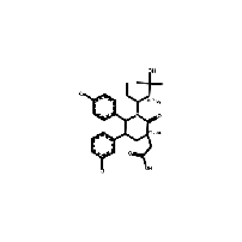 CCC([C@@H](C)C(C)(C)O)N1C(=O)[C@@](C)(CC(=O)O)CC(c2cccc(Cl)c2)C1c1ccc(Cl)cc1